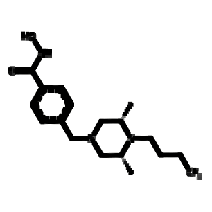 C[C@@H]1CN(Cc2ccc(C(=O)NO)cc2)C[C@H](C)N1CCCC(F)(F)F